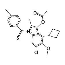 COc1c(Cl)cc2c(c(OC(C)=O)c(C)n2C(=S)c2ccc(C)cc2)c1C1CCC1